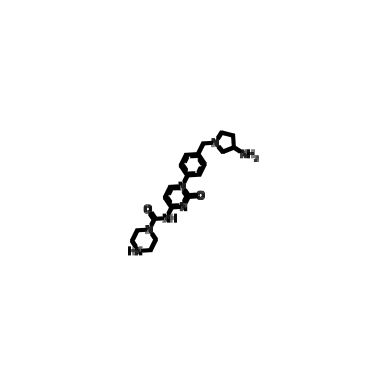 NC1CCN(Cc2ccc(-n3ccc(NC(=O)N4CCNCC4)nc3=O)cc2)C1